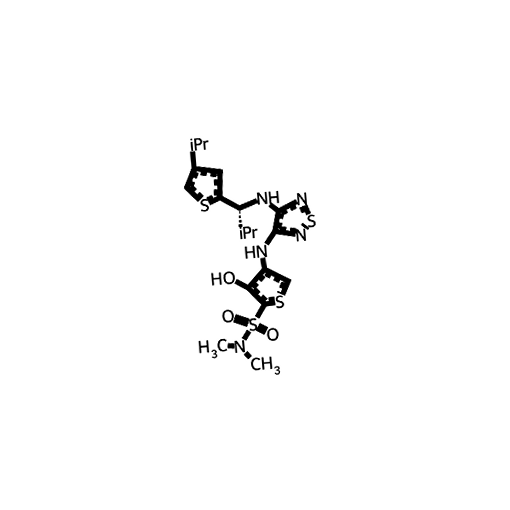 CC(C)c1csc([C@H](Nc2nsnc2Nc2csc(S(=O)(=O)N(C)C)c2O)C(C)C)c1